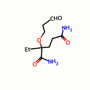 CCC(CCC(N)=O)(OCCC=O)C(N)=O